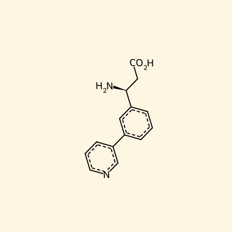 N[C@@H](CC(=O)O)c1cccc(-c2cccnc2)c1